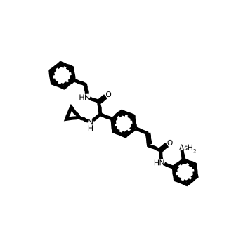 O=C(C=Cc1ccc(C(NC2CC2)C(=O)NCc2ccccc2)cc1)Nc1ccccc1[AsH2]